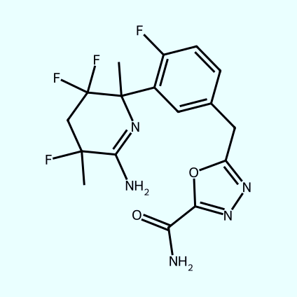 CC1(F)CC(F)(F)C(C)(c2cc(Cc3nnc(C(N)=O)o3)ccc2F)N=C1N